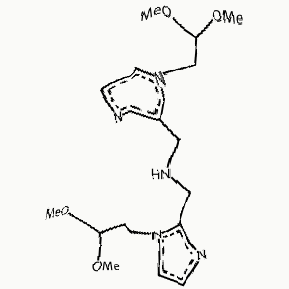 COC(Cn1ccnc1CNCc1nccn1CC(OC)OC)OC